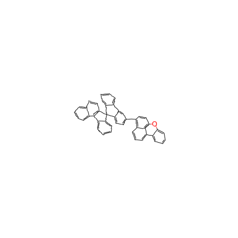 c1ccc2c(c1)Oc1ccc(-c3ccc4c(c3)-c3ccccc3C43c4ccccc4-c4c3ccc3ccccc43)c3cccc-2c13